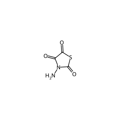 NN1C(=O)SC(=O)C1=O